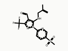 C=C(C)CNc1c(C=O)c(C(F)(F)F)nn1-c1ccc(S(C)(=O)=O)cn1